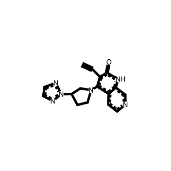 C#Cc1c(N2CCC(n3nccn3)C2)c2ccncc2[nH]c1=O